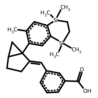 Cc1cc2c(cc1C13CC1CCC3=Cc1cccc(C(=O)O)c1)[Si](C)(C)CC[Si]2(C)C